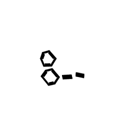 C#C.C#C.c1ccccc1.c1ccccc1